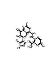 Cc1cc([C@@H](C)Nc2ccc(Cl)nc2C(=O)O)c2oc(-c3cnn(C)c3C)c(C)c(=O)c2c1